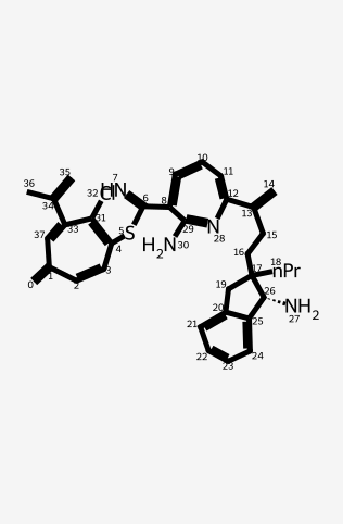 C=C1C=CC(SC(=N)C2=C=CC=C(C(=C)CCC3(CCC)Cc4ccccc4[C@H]3N)N=C2N)=C(Cl)C(C(=C)C)=C1